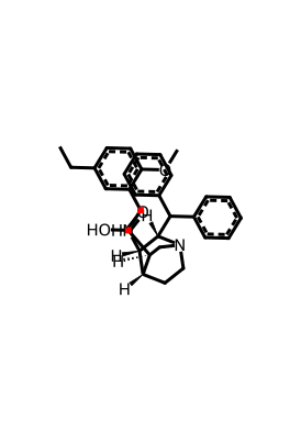 CCc1ccc(OC)c(CN[C@H]2[C@H]3CCN(C[C@@H]3C(=O)O)[C@H]2C(c2ccccc2)c2ccccc2)c1